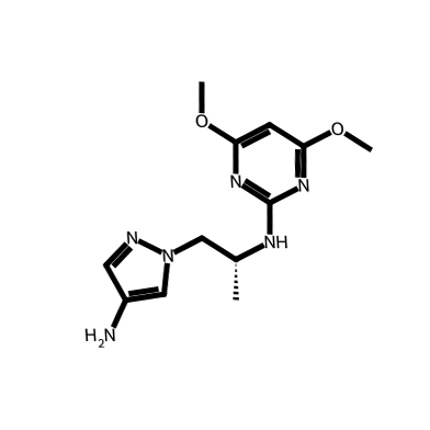 COc1cc(OC)nc(N[C@H](C)Cn2cc(N)cn2)n1